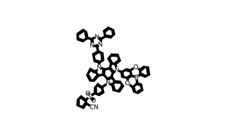 N#Cc1ccccc1S(=O)(=O)c1ccc(-n2c3ccccc3c3c2c2c4ccccc4n(-c4ccc(-c5nc(-c6ccccc6)nc(-c6ccccc6)n5)cc4)c2c2c4ccccc4n(-c4cc5c6c(c4)Oc4ccccc4B6c4ccccc4O5)c23)cc1